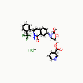 Cl.O=C(OC[C@@H]1CN(c2ccc3cc(-c4ccccc4C(F)(F)F)[nH]c(=O)c3c2)C(=O)O1)c1cccnc1